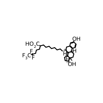 C[C@]12CC[C@@H]3c4ccc(O)cc4C[C@@H](CCCCCCCCC(CCCC(F)(F)C(F)(F)F)C(=O)O)[C@H]3[C@@H]1CC[C@@H]2O